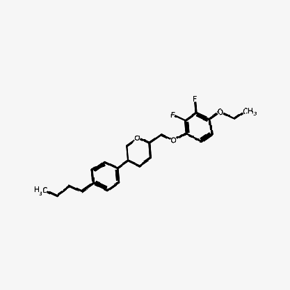 CCCCc1ccc(C2CCC(COc3ccc(OCC)c(F)c3F)OC2)cc1